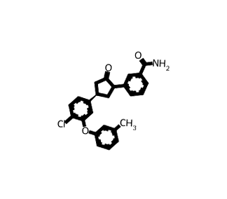 Cc1cccc(Oc2cc([C@H]3CC(=O)C(c4cccc(C(N)=O)c4)C3)ccc2Cl)c1